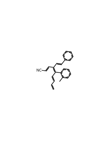 C=CC=CC(=C(C=CC#N)C=Cc1ccccc1)c1ccccc1C